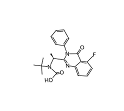 C[C@@H](c1nc2cccc(F)c2c(=O)n1-c1ccccc1)N(C(=O)O)C(C)(C)C